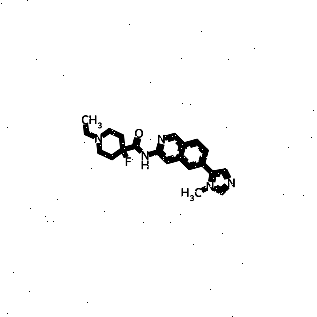 CCN1CCC(F)(C(=O)Nc2cc3cc(-c4cncn4C)ccc3cn2)CC1